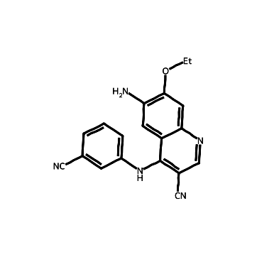 CCOc1cc2ncc(C#N)c(Nc3cccc(C#N)c3)c2cc1N